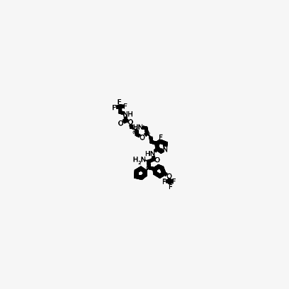 N[C@H](C(=O)Nc1cncc(F)c1CC[C@@H]1CN[C@H](COC(=O)NCC(F)(F)F)CO1)[C@H](c1ccccc1)c1ccc(OC(F)(F)F)cc1